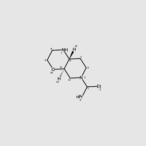 CCCC(CC)N1CC[C@H]2NCCO[C@@H]2C1